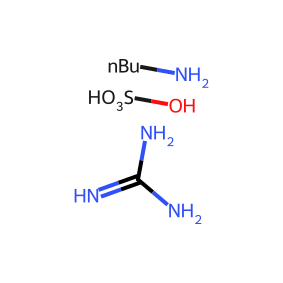 CCCCN.N=C(N)N.O=S(=O)(O)O